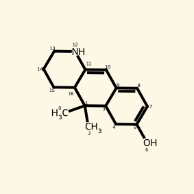 CC1(C)C2CC(O)=CC=C2C=C2NCCCC21